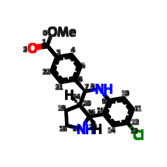 COC(=O)c1ccc([C@H]2Nc3ccc(Cl)cc3[C@@H]3NCC[C@@H]23)cc1